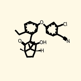 CCc1ccc(Oc2ccc(C#N)c(Cl)c2)cc1C1=C(O)[C@@H]2CC[C@](C)(C1=O)C2(C)C